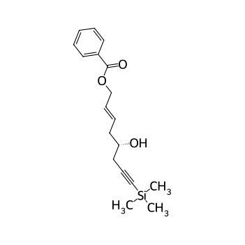 C[Si](C)(C)C#CC[C@@H](O)C/C=C/COC(=O)c1ccccc1